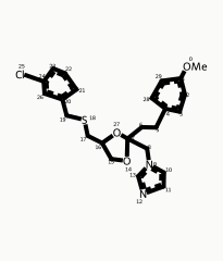 COc1ccc(CCC2(Cn3ccnc3)OCC(CSCc3cccc(Cl)c3)O2)cc1